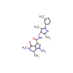 Cc1cccc(-n2nc(C)c(CNC(=O)c3cn(C)c4c(C)cn(C)c(=O)c34)c2C)c1